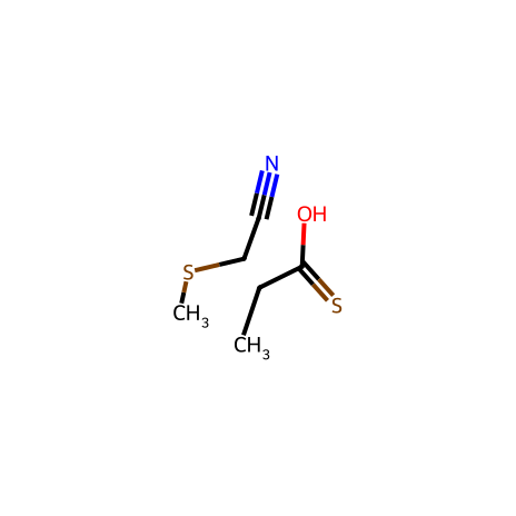 CCC(O)=S.CSCC#N